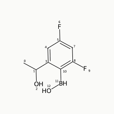 CC(O)c1cc(F)cc(F)c1BO